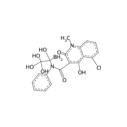 BC(O)(N(C(=O)c1c(O)c2c(Cl)cccc2n(C)c1=O)c1ccccc1)C(O)(O)O